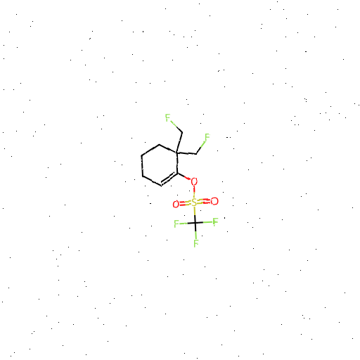 O=S(=O)(OC1=CCCCC1(CF)CF)C(F)(F)F